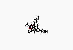 CC(C)(O)c1cc(F)c2c(c1)C(=O)N([C@@H](C(=O)O)c1ccc(Cl)cc1)[C@@]2(OC1CCOC1)c1ccc(Cl)cc1